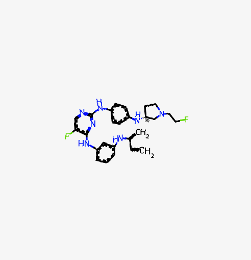 C=CC(=C)Nc1cccc(Nc2nc(Nc3ccc(N[C@@H]4CCN(CCF)C4)cc3)ncc2F)c1